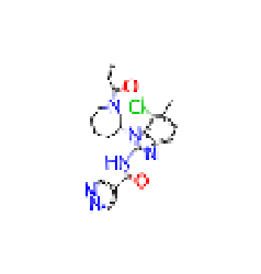 C=CC(=O)N1CCCC[C@@H](n2c(NC(=O)c3ccnnc3)nc3ccc(C)c(Cl)c32)C1